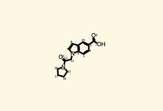 O=C(O)c1ccc2c(ccn2CC(=O)N2CCCC2)c1